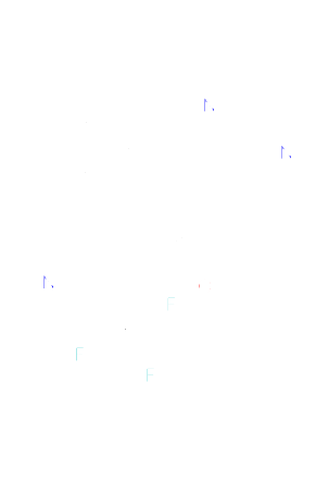 O=C(c1cncnc1C1CC1)c1cccnc1C(F)(F)F